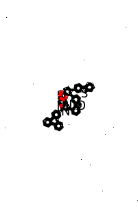 c1ccc(-c2nc(-c3ccc4c5ccccc5c5ccccc5c4c3)nc(-c3cccc4oc5ccc(-c6c(-c7ccc8c(c7)sc7ccccc78)ccc7sc8ccccc8c67)cc5c34)n2)cc1